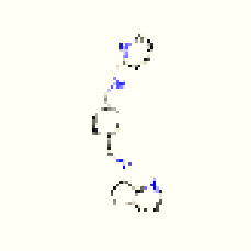 c1ccc(CNCc2ccc(CNC3CCc4cccnc43)cc2)nc1